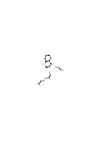 CC(C)=CCCC(C)=CCOc1c(OCC=C(C)C)c2ccc(N)cc2n(C)c1=O